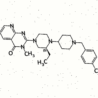 CC[C@H]1CN(c2nc3ncccc3c(=O)n2C)CCN1C1CCN(Cc2ccc(Cl)cc2)CC1